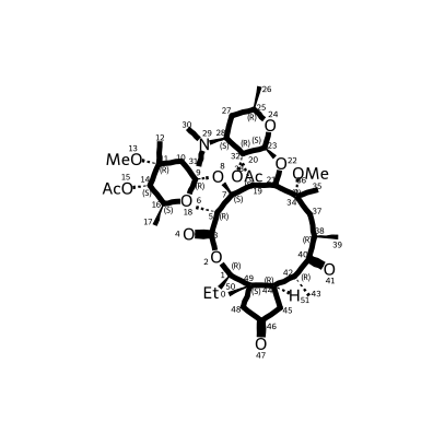 CC[C@H]1OC(=O)[C@H](C)[C@@H](O[C@H]2C[C@@](C)(OC)[C@@H](OC(C)=O)[C@H](C)O2)[C@H](C)C(O[C@@H]2O[C@H](C)C[C@H](N(C)C)[C@H]2OC(C)=O)[C@](C)(OC)C[C@@H](C)C(=O)[C@H](C)[C@H]2CC(=O)C[C@@]21C